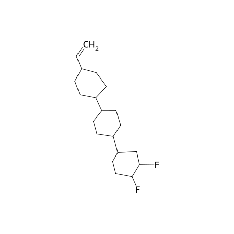 C=CC1CCC(C2CCC(C3CCC(F)C(F)C3)CC2)CC1